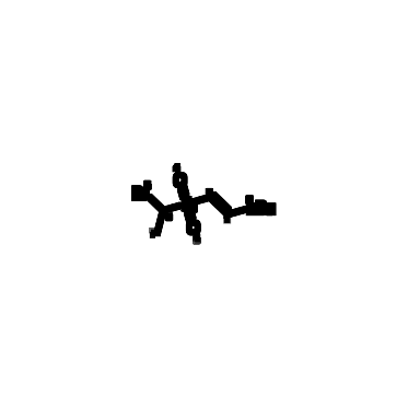 CCCCC=CS(=O)(=O)C(C)Br